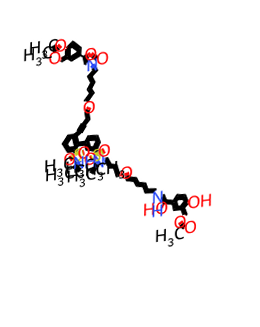 CC(=O)OCc1cc([C@@H](O)CNCCCCCCOCCCCN(C(C)(C)C)S(=O)(=O)c2cccc(-c3c(C#CCCOCCCCCCN4C[C@@H](c5ccc6c(c5)COC(C)(C)O6)OC4=O)cccc3S(=O)(=O)NC(C)(C)C)c2)ccc1O